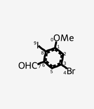 COc1cc(Br)cc(C=O)c1I